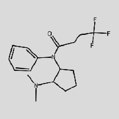 CN(C)C1CCCC1N(C(=O)CCC(F)(F)F)c1ccccc1